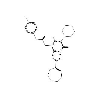 CCc1c(N2CCNCC2)c(=O)n2nc(C3=CCCCCC3)nc2n1CC(=O)Nc1ccc(C(C)(C)C)cc1